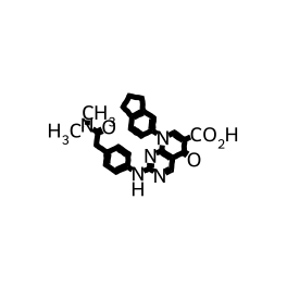 CN(C)C(=O)Cc1ccc(Nc2ncc3c(=O)c(C(=O)O)cn(-c4ccc5c(c4)CCC5)c3n2)cc1